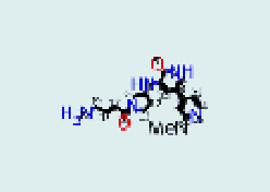 CNc1cc(-c2c[nH]c(=O)c(N[C@@H]3CCN(C(=O)/C=C/CN)C3)c2)ccn1